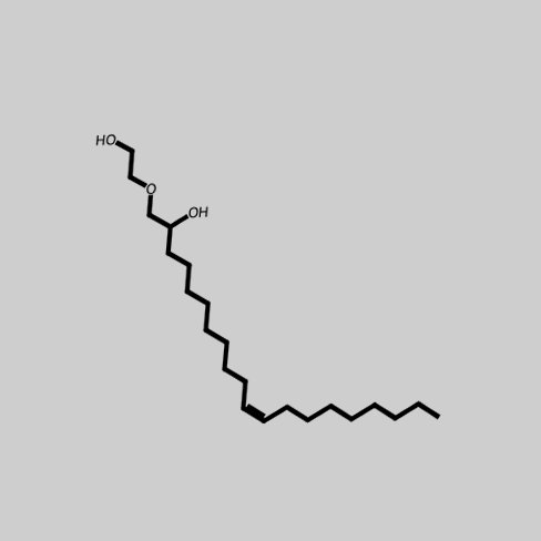 CCCCCCCC/C=C\CCCCCCCCC(O)COCCO